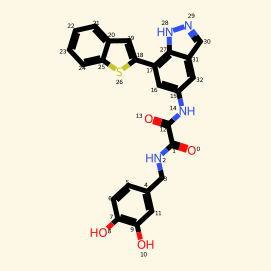 O=C(NCc1ccc(O)c(O)c1)C(=O)Nc1cc(-c2cc3ccccc3s2)c2[nH]ncc2c1